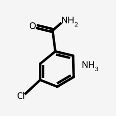 N.NC(=O)c1cccc(Cl)c1